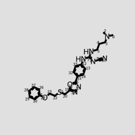 CN(C)CCCNC(=NC#N)Nc1ccc(-c2nnc(CSCCOc3ccccc3)o2)cc1